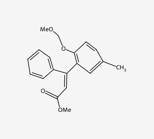 COCOc1ccc(C)cc1C(=CC(=O)OC)c1ccccc1